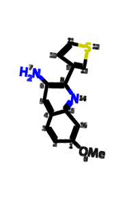 COc1ccc2cc(N)c(-c3ccsc3)nc2c1